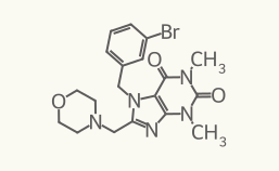 Cn1c(=O)c2c(nc(CN3CCOCC3)n2Cc2cccc(Br)c2)n(C)c1=O